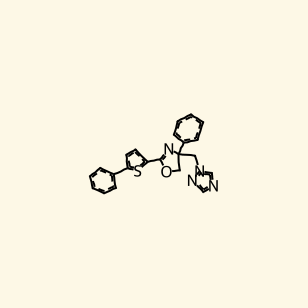 c1ccc(-c2ccc(C3=NC(Cn4cncn4)(c4ccccc4)CO3)s2)cc1